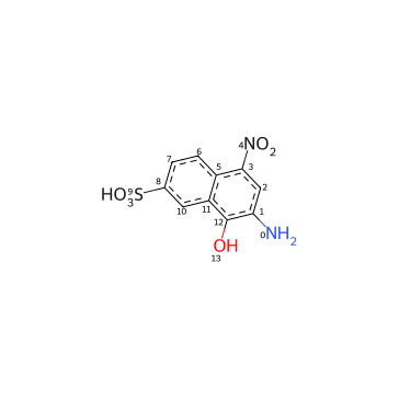 Nc1cc([N+](=O)[O-])c2ccc(S(=O)(=O)O)cc2c1O